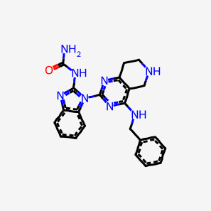 NC(=O)Nc1nc2ccccc2n1-c1nc2c(c(NCc3ccccc3)n1)CNCC2